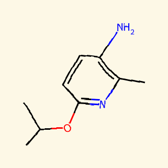 Cc1nc(OC(C)C)ccc1N